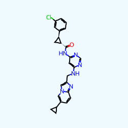 O=C(Nc1cc(NCc2cn3cc(C4CC4)ccc3n2)ncn1)[C@@H]1C[C@H]1c1cccc(Cl)c1